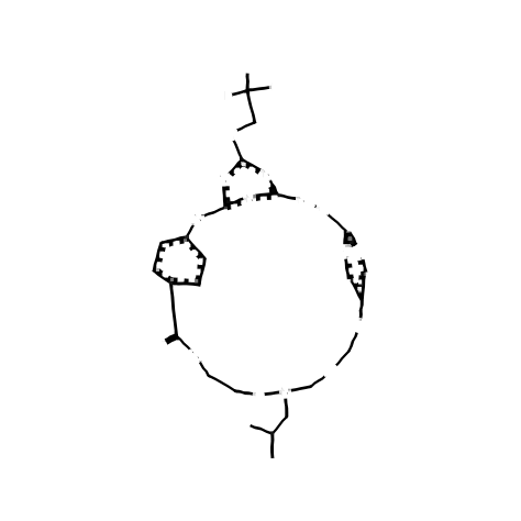 CC(C)CN1CCCNC(=O)c2ccc(cc2)Nc2nc(nc(OCC(F)(F)F)n2)NCc2ccc(cc2)OCCC1